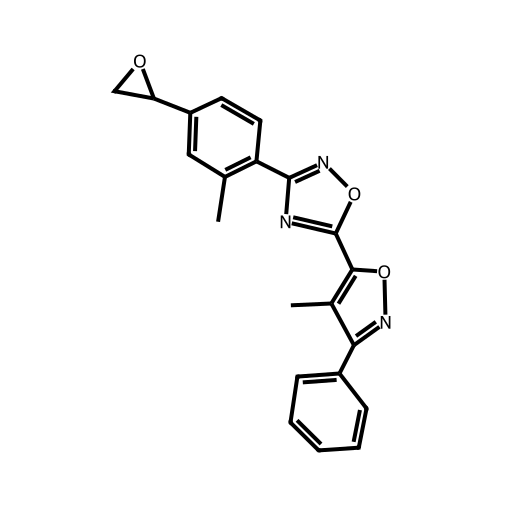 Cc1cc(C2CO2)ccc1-c1noc(-c2onc(-c3ccccc3)c2C)n1